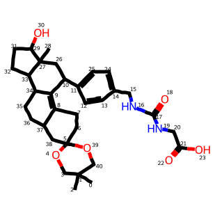 CC1(C)COC2(CCC3=C4C(c5ccc(CNC(=O)NCC(=O)O)cc5)CC5(C)C(O)CCC5C4CCC3C2)OC1